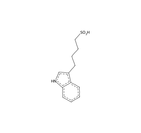 O=S(=O)(O)CCCCc1c[nH]c2ccccc12